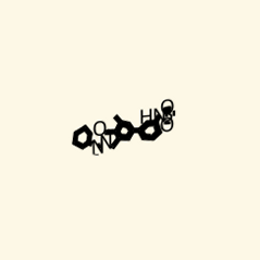 Cc1cc(-c2cccc(NS(C)(=O)=O)c2)cc2c1C(=O)N(N(C)C1CCCCC1)C2